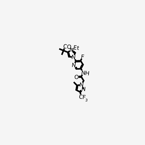 CCOC(=O)C(C)(C)c1cn(-c2ncc(NC(=O)Cn3nc(C(F)(F)F)cc3C)cc2F)cn1